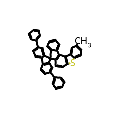 Cc1ccc2sc3ccc4c(c3c2c1)-c1ccccc1C41c2cc(-c3ccccc3)ccc2-c2ccc(-c3ccccc3)cc21